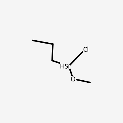 CCC[SiH](Cl)OC